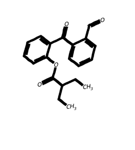 CCC(CC)C(=O)Oc1ccccc1C(=O)c1ccccc1[C]=O